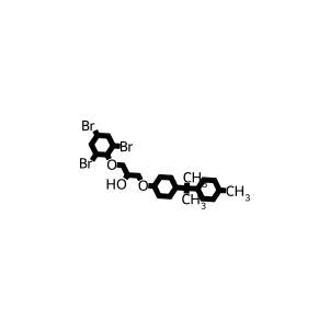 CC1CCC(C(C)(C)C2CCC(OCC(O)COC3C(Br)CC(Br)CC3Br)CC2)CC1